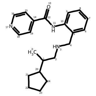 CC(CNCc1ccccc1NC(=O)c1ccncc1)C1CCCC1